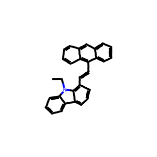 CCn1c2ccccc2c2cccc(C=Cc3c4ccccc4cc4ccccc34)c21